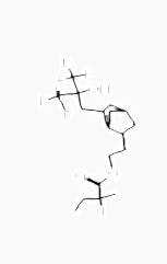 CCC(C)(I)C(=O)OCCC1CC2CC(CC(O)(C(F)(F)F)C(F)(F)F)C1C2